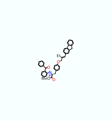 CC/C(=C\c1ccc2c(c1)Cc1ccccc1-2)COc1ccc(C[C@H](Nc2ccccc2C(=O)c2ccccc2)C(=O)OC)cc1